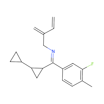 C=CC(=C)C/N=C(/c1ccc(C)c(F)c1)C1CC1C1CC1